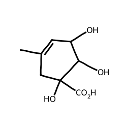 CC1=CC(O)C(O)C(O)(C(=O)O)C1